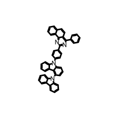 c1ccc(-c2nc(-c3ccc(-n4c5ccccc5c5c(-n6c7ccccc7c7ccccc76)cccc54)cc3)nc3c2ccc2ccccc23)cc1